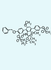 COc1cc(-c2ccc(OS(C)(=O)=O)cc2)c(OC)c(NC(=O)OC(C)(C)C)c1-c1ccc(OCc2ccccc2)c(OS(C)(=O)=O)c1